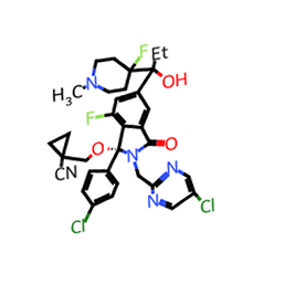 CCC(O)(c1cc(F)c2c(c1)C(=O)N(Cc1ncc(Cl)cn1)[C@@]2(OCC1(C#N)CC1)c1ccc(Cl)cc1)C1(F)CCN(C)CC1